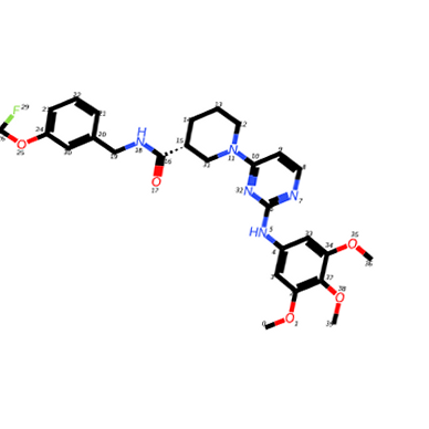 COc1cc(Nc2nccc(N3CCC[C@@H](C(=O)NCc4cccc(OC(F)(F)F)c4)C3)n2)cc(OC)c1OC